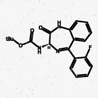 CC(C)(C)OC(=O)N[C@H]1N=C(c2ccccc2F)c2ccccc2NC1=O